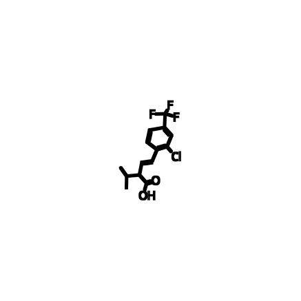 CC(C)C(C=Cc1ccc(C(F)(F)F)cc1Cl)C(=O)O